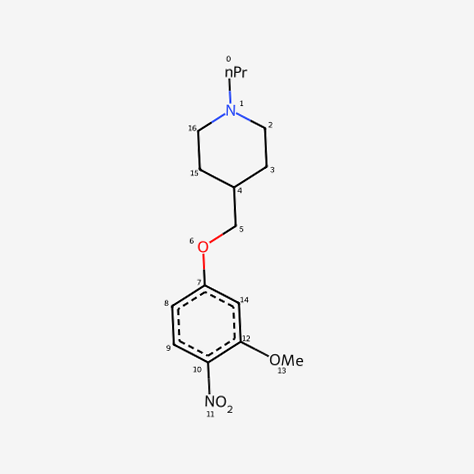 CCCN1CCC(COc2ccc([N+](=O)[O-])c(OC)c2)CC1